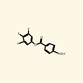 CCCCCCCCc1ccc(C(=O)Oc2cc(F)c(F)c(F)c2)cc1